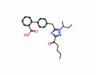 CCCCC(=O)c1nc(Cc2ccc(-c3ccccc3C(=O)O)cc2)n(C(C)CC)n1